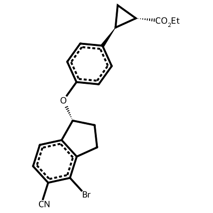 CCOC(=O)[C@H]1C[C@@H]1c1ccc(O[C@@H]2CCc3c2ccc(C#N)c3Br)cc1